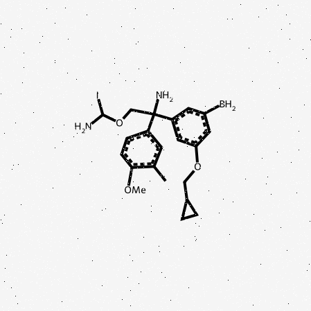 Bc1cc(OCC2CC2)cc(C(N)(COC(N)I)c2ccc(OC)c(C)c2)c1